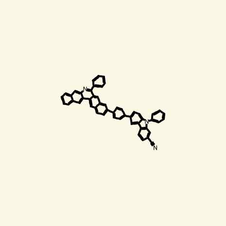 N#Cc1ccc2c3cc(-c4ccc(-c5ccc6cc7c(cc6c5)c(-c5ccccc5)nc5cc6ccccc6cc57)cc4)ccc3n(-c3ccccc3)c2c1